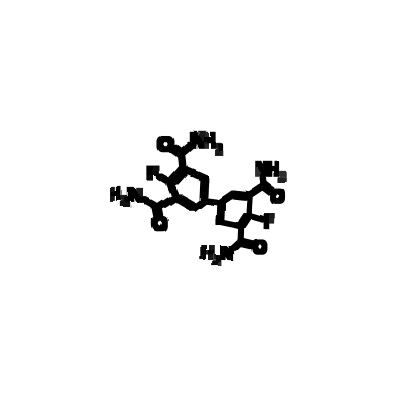 NC(=O)c1cc(-c2cc(C(N)=O)c(F)c(C(N)=O)c2)cc(C(N)=O)c1F